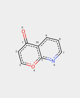 O=c1ccoc2ncccc12